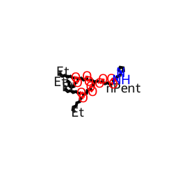 CC/C=C\CCCCOC(CCC(=O)OCC(COC(=O)CCC(CCCCC)OC(=O)NCCN1CCCC1)COC(=O)CCC(OCCCC/C=C\CC)OCCCC/C=C\CC)OCCCC/C=C\CC